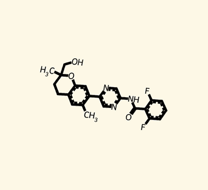 Cc1cc2c(cc1-c1cnc(NC(=O)c3c(F)cccc3F)cn1)OC(C)(CO)CC2